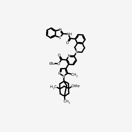 COC12CC3(C)CC(C)(C1)CC(n1ncc(-c4ccc(N5CCc6cccc(C(=O)Nc7nc8ccccc8s7)c6C5)nc4C(=O)OC(C)(C)C)c1C)(C3)C2